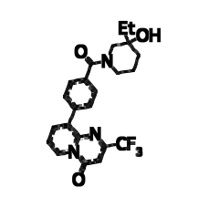 CCC1(O)CCCN(C(=O)c2ccc(-c3cccn4c(=O)cc(C(F)(F)F)nc34)cc2)C1